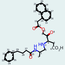 CC(CNC(CC(=O)O)C(=O)COC(=O)Cc1cccc2ccccc12)NC(=O)CCCc1ccccc1